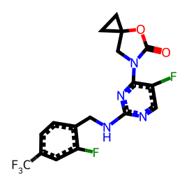 O=C1OC2(CC2)CN1c1nc(NCc2ccc(C(F)(F)F)cc2F)ncc1F